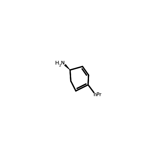 CCCC1=CC[C@@H](N)C=C1